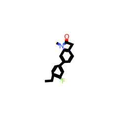 CCc1ccc(-c2ccc3c(c2)N(C)C(=O)C3)cc1F